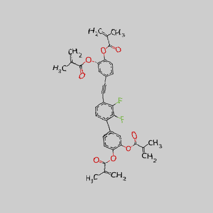 C=C(C)C(=O)Oc1ccc(C#Cc2ccc(-c3ccc(OC(=O)C(=C)C)c(OC(=O)C(=C)C)c3)c(F)c2F)cc1OC(=O)C(=C)C